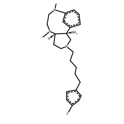 CN1CCN(C)[C@H]2CCN(CCCCCc3ccc(F)cc3)C[C@@]2(N)c2cccc1c2